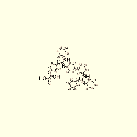 O=C(O)C(=O)O.c1ccc(OC(=NC2CCCCC2)NC2CCCCC2)cc1.c1ccc(OC(=NC2CCCCC2)NC2CCCCC2)cc1